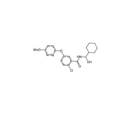 COc1ccc(Oc2ccc(Cl)c(C(=O)NC(O)C3CCCCC3)c2)nn1